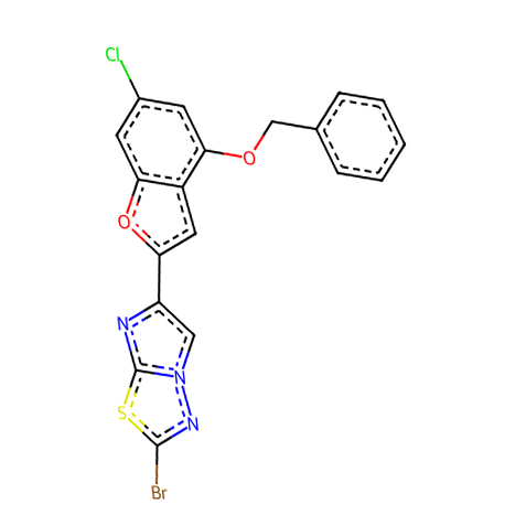 Clc1cc(OCc2ccccc2)c2cc(-c3cn4nc(Br)sc4n3)oc2c1